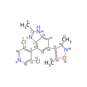 Cc1nc2c(-c3c(Cl)cncc3Cl)cc(-c3c(C)noc3C)cc2[nH]1